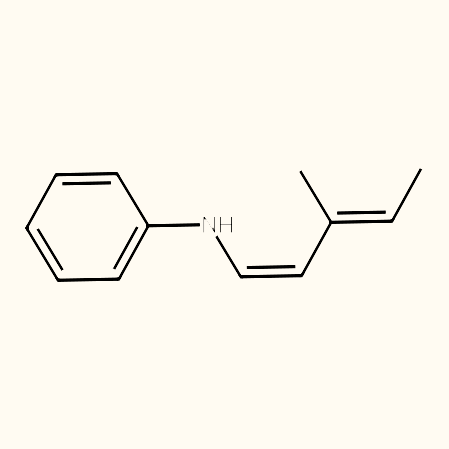 C/C=C(C)/C=C\Nc1ccccc1